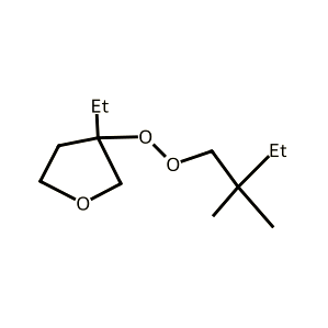 CCC(C)(C)COOC1(CC)CCOC1